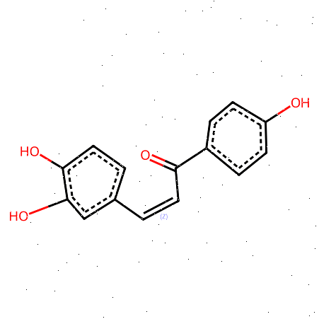 O=C(/C=C\c1ccc(O)c(O)c1)c1ccc(O)cc1